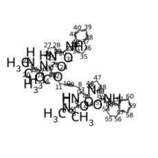 CN[C@@H](C)C(=O)N[C@@H](CC#CCO[C@H](C)[C@H](NC(=O)[C@H](C)NC)C(=O)N1CCC[C@H]1C(=O)N[C@@H]1CCCc2ccccc21)C(=O)N1CCC[C@H]1C(=O)N[C@@H]1CCCc2ccccc21